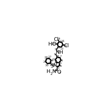 NC(=O)c1cc2ccc(CNCc3cc(Cl)cc(Cl)c3O)cc2n1Sc1ccccc1